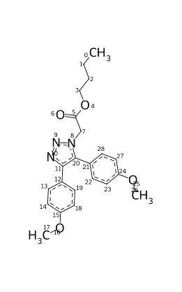 CCCCOC(=O)Cn1nnc(-c2ccc(OC)cc2)c1-c1ccc(OC)cc1